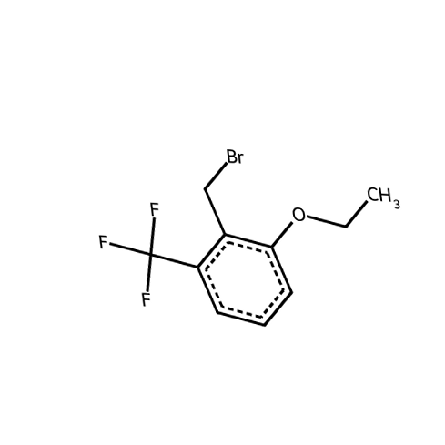 CCOc1cccc(C(F)(F)F)c1CBr